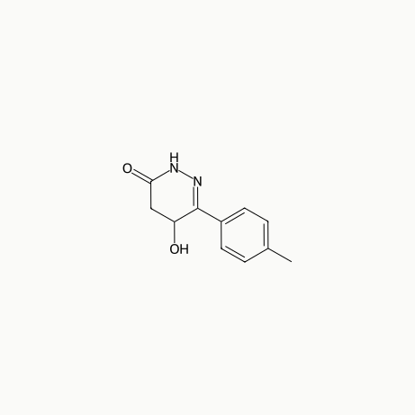 Cc1ccc(C2=NNC(=O)CC2O)cc1